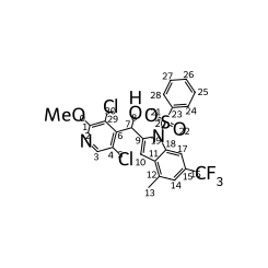 COc1ncc(Cl)c(C(O)c2cc3c(C)cc(C(F)(F)F)cc3n2S(=O)(=O)c2ccccc2)c1Cl